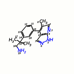 Cc1cnc2[nH]ncc2c1-c1cccc(C(C)(C)CN)c1